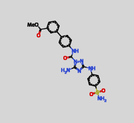 COC(=O)c1cccc(-c2ccc(NC(=O)n3nc(Nc4ccc(S(N)(=O)=O)cc4)nc3N)cc2)c1